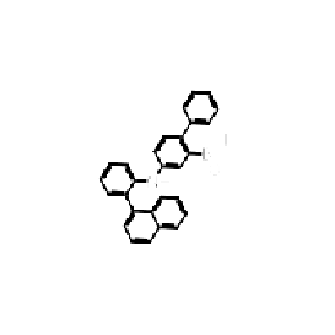 OB(O)c1cc(Nc2ccccc2-c2cccc3ccccc23)ccc1-c1ccccc1